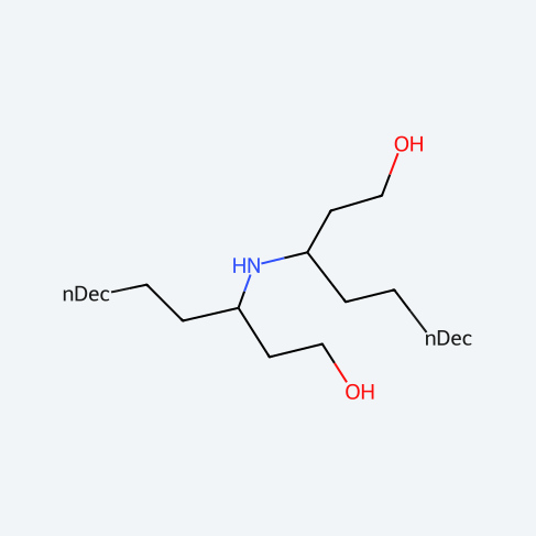 CCCCCCCCCCCCC(CCO)NC(CCO)CCCCCCCCCCCC